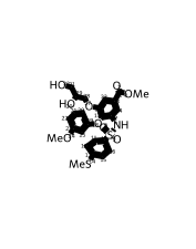 COC(=O)c1cc(NS(=O)(=O)c2ccc(SC)cc2)c(Oc2cccc(OC)c2)c(OCC(O)CO)c1